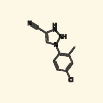 Cc1cc(Cl)ccc1N1C=C(C#N)NN1